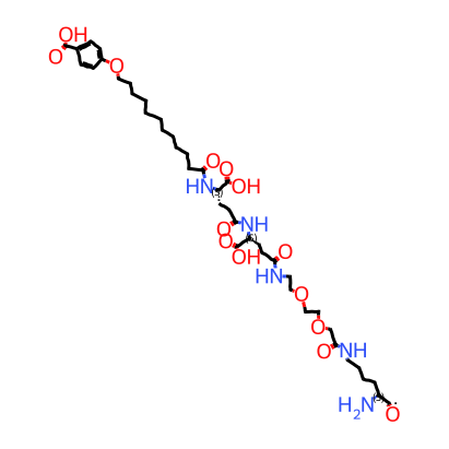 N[C@H]([C]=O)CCCCNC(=O)COCCOCCNC(=O)CC[C@H](NC(=O)CC[C@H](NC(=O)CCCCCCCCCCCOc1ccc(C(=O)O)cc1)C(=O)O)C(=O)O